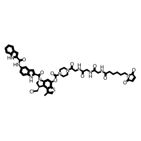 Cc1csc2c(OC(=O)N3CCN(C(=O)CNC(=O)CNC(=O)CNC(=O)CCCCCN4C(=O)C=CC4=O)CC3)cc3c(c12)[C@@H](CCl)CN3C(=O)c1cc2cc(NC(=O)c3cc4ccccc4[nH]3)ccc2[nH]1